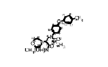 CN(O)C(=O)[C@H](CN(c1ccc(Oc2ccc(C(F)(F)F)cc2)cc1)S(C)(=O)=O)N1CCOCC1